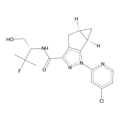 CC(C)(F)[C@H](CO)NC(=O)c1nn(-c2cc(Cl)ccn2)c2c1C[C@H]1C[C@@H]21